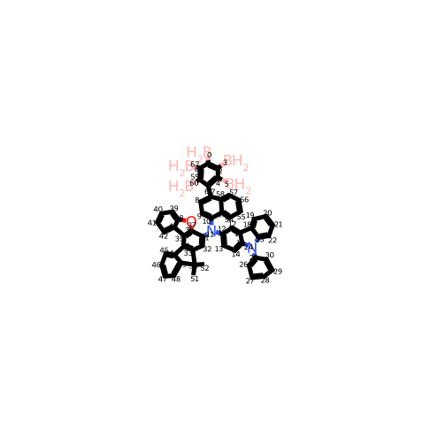 Bc1c(B)c(B)c(-c2ccc(N(c3ccc4c(c3)c3ccccc3n4-c3ccccc3)c3cc4c(c5c3oc3ccccc35)-c3ccccc3C4(C)C)c3ccccc23)c(B)c1B